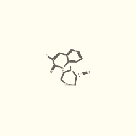 C1CNCCN1.C=O.O=c1[nH]c2ccccc2cc1F